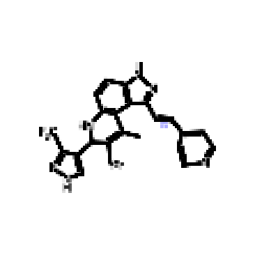 CCCC1=C(C)c2c(ccc3[nH]nc(/C=C/c4ccncc4)c23)NC1c1c[nH]nc1C(F)(F)F